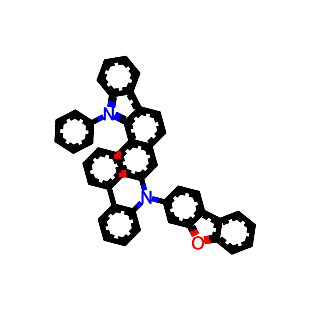 c1ccc(-c2ccccc2N(c2ccc3c(ccc4c5ccccc5n(-c5ccccc5)c34)c2)c2ccc3c(c2)oc2ccccc23)cc1